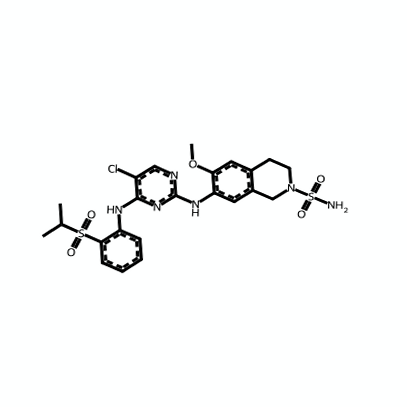 COc1cc2c(cc1Nc1ncc(Cl)c(Nc3ccccc3S(=O)(=O)C(C)C)n1)CN(S(N)(=O)=O)CC2